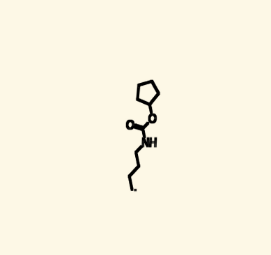 [CH2]CCCNC(=O)OC1CCCC1